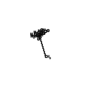 CCCCCCCCCCCCCCCC(=O)OCC(=O)[C@@]12OC(C)(C)O[C@@H]1C[C@H]1[C@@H]3CCC4=CC(=O)CC[C@]4(C)[C@@]3(F)[C@@H](O)C[C@@]12C